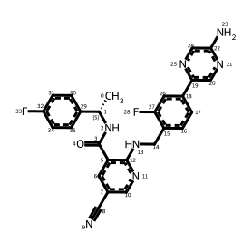 C[C@H](NC(=O)c1cc(C#N)cnc1NCc1ccc(-c2cnc(N)cn2)cc1F)c1ccc(F)cc1